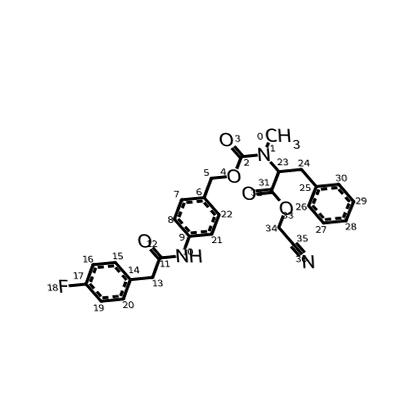 CN(C(=O)OCc1ccc(NC(=O)Cc2ccc(F)cc2)cc1)C(Cc1ccccc1)C(=O)OCC#N